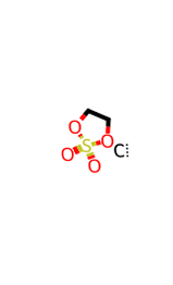 O=S1(=O)OCCO1.[C]